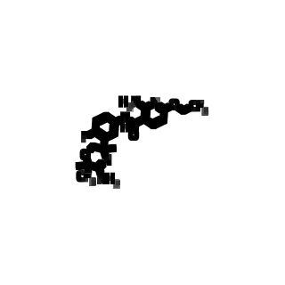 CC1(c2cc(NC(=O)c3ccc(OCC(F)(F)F)nc3N)ccc2F)COC(C)(C(F)(F)F)C(N)=N1